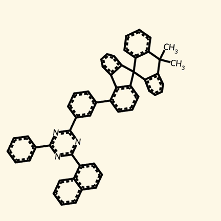 CC1(C)c2ccccc2C2(c3ccccc3-c3c(-c4cccc(-c5nc(-c6ccccc6)nc(-c6cccc7ccccc67)n5)c4)cccc32)c2ccccc21